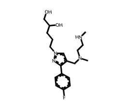 CNCCN(C)Cc1cn(CCCC(O)CO)nc1-c1ccc(F)cc1